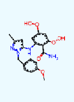 COc1ccc(Cn2nc(C)cc2Nc2cc(OO)cc(OO)c2C(N)=O)cc1